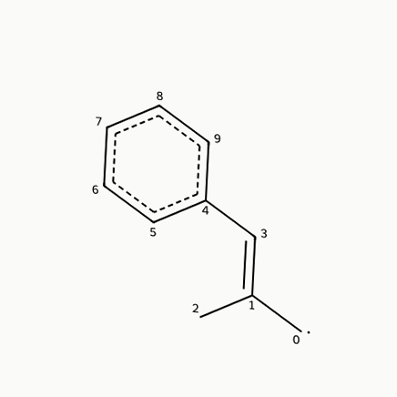 [CH2]C(C)=Cc1ccccc1